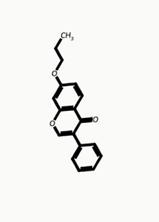 CCCOc1ccc2c(=O)c(-c3ccccc3)coc2c1